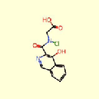 O=C(O)CN(Cl)C(=O)c1ncc2ccccc2c1O